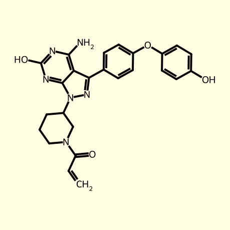 C=CC(=O)N1CCCC(n2nc(-c3ccc(Oc4ccc(O)cc4)cc3)c3c(N)nc(O)nc32)C1